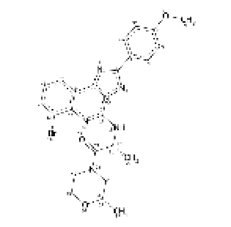 COc1ccc(-c2nc3c4cccc(Br)c4nc(N[C@H](C)C(=O)N4CCO[C@@H](C)C4)n3n2)cc1